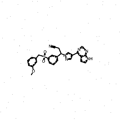 COc1cccc(CS(=O)(=O)c2cccc(C(CC#N)n3cc(-c4ncnc5[nH]ccc45)cn3)c2)c1